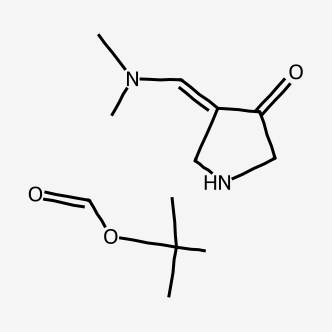 CC(C)(C)OC=O.CN(C)/C=C1\CNCC1=O